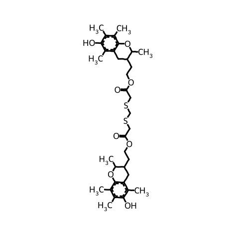 Cc1c(C)c2c(c(C)c1O)CC(CCOC(=O)CSCSCC(=O)OCCC1Cc3c(C)c(O)c(C)c(C)c3OC1C)C(C)O2